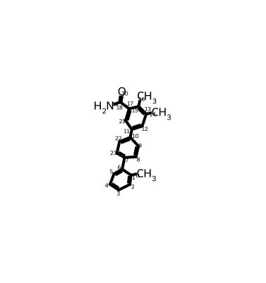 Cc1ccccc1-c1ccc(-c2cc(C)c(C)c(C(N)=O)c2)cc1